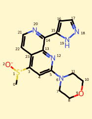 C[S+]([O-])c1cc(N2CCOCC2)nc2c(-c3ccn[nH]3)nccc12